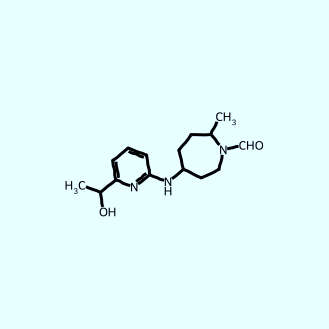 CC(O)c1cccc(NC2CCC(C)N(C=O)CC2)n1